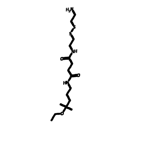 CCOC(C)(C)CCCNC(=O)CCC(=O)NCCSSCCN